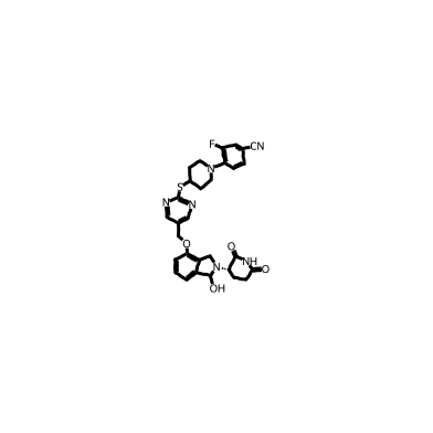 N#Cc1ccc(N2CCC(Sc3ncc(COc4cccc5c4CN([C@H]4CCC(=O)NC4=O)C5O)cn3)CC2)c(F)c1